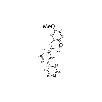 COc1ccc2c(c1)CC(c1cccc(-c3ccncc3)c1)CO2